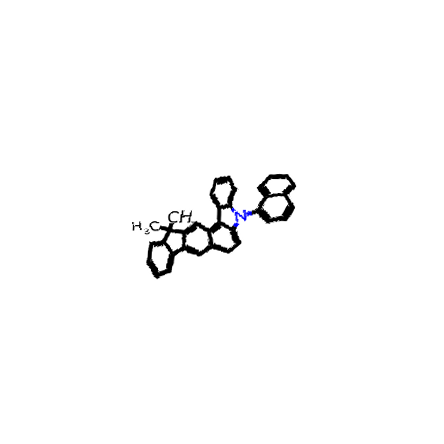 CC1(C)c2ccccc2-c2cc3ccc4c(c3cc21)c1ccccc1n4-c1cccc2ccccc12